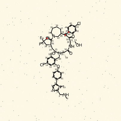 CNCc1ncc(-c2ccc(Oc3cc(Cl)cc(F)c3CN3C(=O)C[C@@H](CC(F)(F)F)C(=O)N4CCCC[C@@](Cc5ccc(Cl)cc5)(C4)N(C)C(=O)[C@H](CO)NC(=O)[C@@H]3C)cc2)n1C